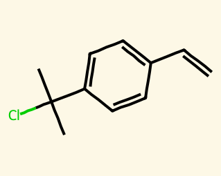 C=Cc1ccc(C(C)(C)Cl)cc1